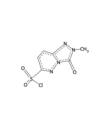 Cn1nc2ccc(S(=O)(=O)Cl)nn2c1=O